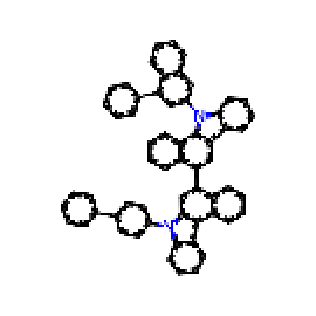 c1ccc(-c2ccc(-n3c4ccccc4c4c5ccccc5c(-c5cc6c7ccccc7n(-c7cc(-c8ccccc8)c8ccccc8c7)c6c6ccccc56)cc43)cc2)cc1